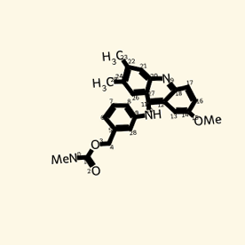 CNC(=O)OCc1cccc(Nc2c3cc(OC)ccc3nc3cc(C)c(C)cc23)c1